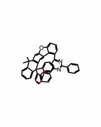 CC1(C)c2ccccc2C2(c3ccccc3-c3ccccc32)c2cc3c(cc21)oc1cccc(-c2cc(-c4ccccc4)nc(-c4ccccc4)n2)c13